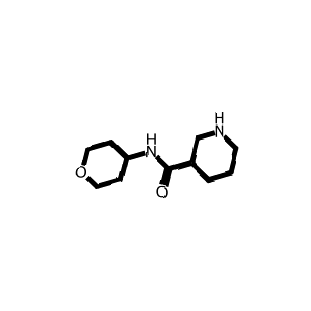 O=C(NC1CCOCC1)C1CCCNC1